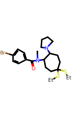 CCSC1(SCC)CCC(N2CCCC2)C(N(C)C(=O)c2ccc(Br)cc2)CC1